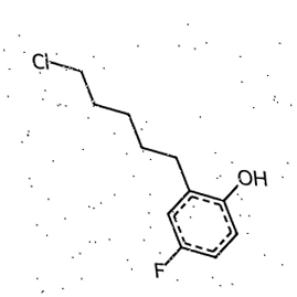 Oc1ccc(F)cc1CCCCCCl